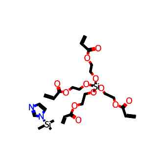 C=CC(=O)OCCO[Si](OCCOC(=O)C=C)(OCCOC(=O)C=C)OCCOC(=O)C=C.C[Si](C)(C)n1ccnc1